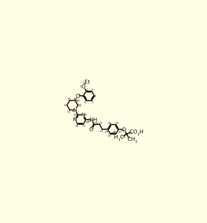 CCOc1ccccc1O[C@@H]1CCCN(c2nccc(NC(=O)CCc3ccc(OC(C)(C)C(=O)O)cc3)n2)C1